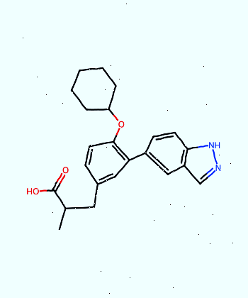 CC(Cc1ccc(OC2CCCCC2)c(-c2ccc3[nH]ncc3c2)c1)C(=O)O